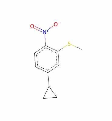 CSc1cc(C2CC2)ccc1[N+](=O)[O-]